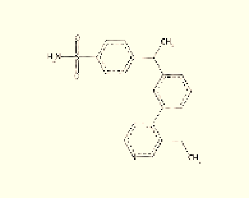 CCc1cnccc1-c1cccc(C(C)c2ccc(S(N)(=O)=O)cc2)c1